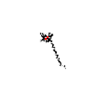 COCCOCCOCCOCCOCC(COC(C(F)(F)F)(C(F)(F)F)C(F)(F)F)(CC(F)(F)F)CC(F)(F)F